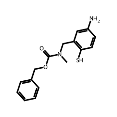 CN(Cc1cc(N)ccc1S)C(=O)OCc1ccccc1